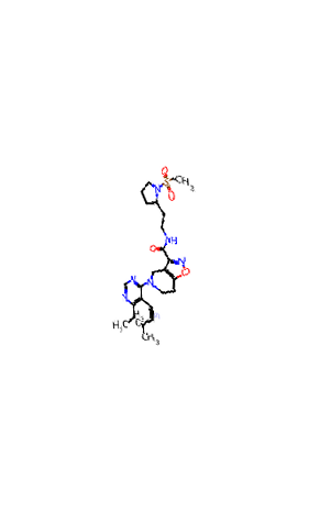 CCc1ncnc(N2CCc3onc(C(=O)NCCC4CCCN4S(C)(=O)=O)c3C2)c1/C=C\C(C)C